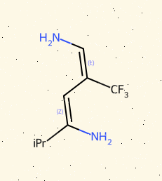 CC(C)/C(N)=C/C(=C\N)C(F)(F)F